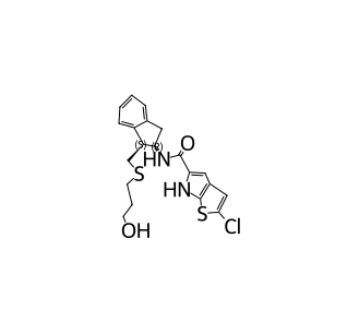 O=C(N[C@@H]1Cc2ccccc2[C@@H]1CSCCCO)c1cc2cc(Cl)sc2[nH]1